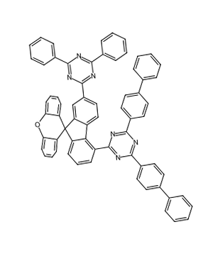 c1ccc(-c2ccc(-c3nc(-c4ccc(-c5ccccc5)cc4)nc(-c4cccc5c4-c4ccc(-c6nc(-c7ccccc7)nc(-c7ccccc7)n6)cc4C54c5ccccc5Oc5ccccc54)n3)cc2)cc1